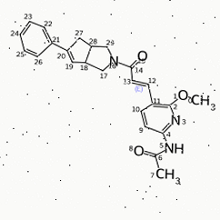 COc1nc(NC(C)=O)ccc1/C=C/C(=O)N1CC2C=C(c3ccccc3)CC2C1